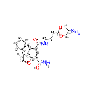 CNC(=O)c1cc(C(=O)NCCCC2OCC(N)CO2)cc2c1OC[C@@]2(C)c1ccccc1